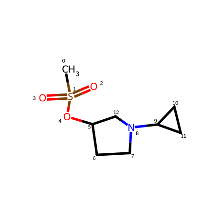 CS(=O)(=O)OC1CCN(C2CC2)C1